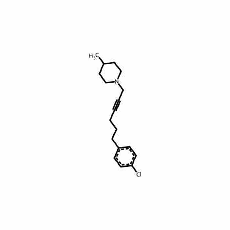 CC1CCN(CC#CCCCc2ccc(Cl)cc2)CC1